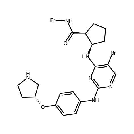 CC(C)NC(=O)[C@H]1CCC[C@H]1Nc1nc(Nc2ccc(O[C@@H]3CCNC3)cc2)ncc1Br